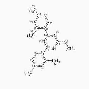 CSc1nc(-c2ccc(C)cc2C)nc(-c2ccc(C)cc2C)n1